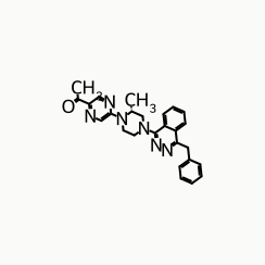 CC(=O)c1cnc(N2CCN(c3nnc(Cc4ccccc4)c4ccccc34)C[C@H]2C)cn1